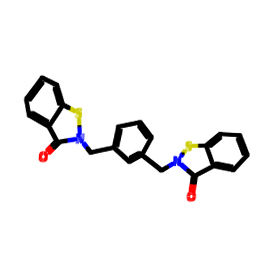 O=c1c2ccccc2sn1Cc1cccc(Cn2sc3ccccc3c2=O)c1